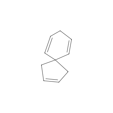 C1=CC2(C=CC1)CC=CC2